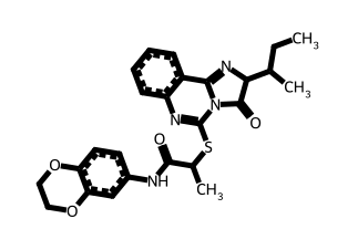 CCC(C)C1N=C2c3ccccc3N=C(SC(C)C(=O)Nc3ccc4c(c3)OCCO4)N2C1=O